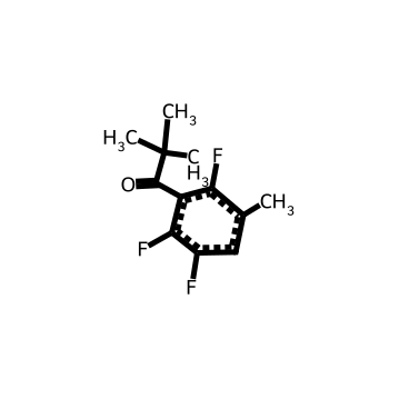 Cc1cc(F)c(F)c(C(=O)C(C)(C)C)c1F